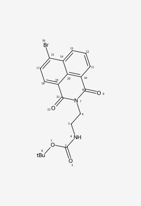 CC(C)(C)OC(=O)NCCN1C(=O)c2cccc3c(Br)ccc(c23)C1=O